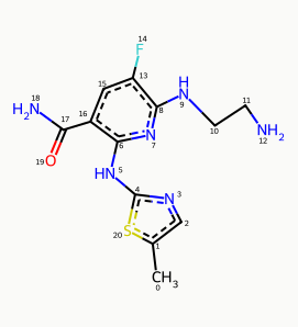 Cc1cnc(Nc2nc(NCCN)c(F)cc2C(N)=O)s1